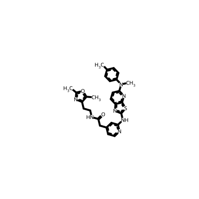 Cc1ccc(N(C)c2ccc3nc(Nc4cc(CC(=O)NCCc5nc(C)oc5C)ccn4)sc3n2)cc1